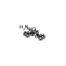 Cl.NCCCC[C@H](NC(=O)C1OC1C(=O)Nc1cccc2ccccc12)C(=O)Nc1cccc2ccccc12